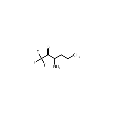 [CH2]CCC(N)C(=O)C(F)(F)F